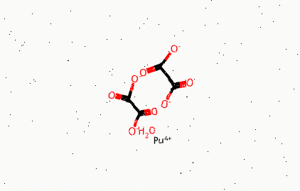 O.O=C([O-])C(=O)[O-].O=C([O-])C(=O)[O-].[Pu+4]